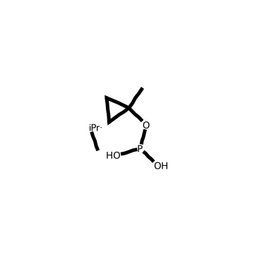 CC1(OP(O)O)CC1.C[C](C)C